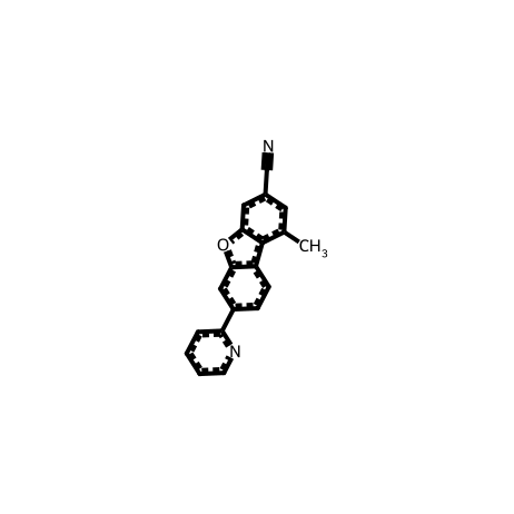 Cc1cc(C#N)cc2oc3cc(-c4ccccn4)ccc3c12